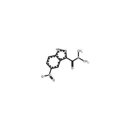 CN(C)C(=O)c1n[nH]c2ccc([N+](=O)[O-])cc12